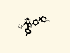 Cc1ccc(-c2nn(C3CCN(C4(C)CCNCC4)CC3)c3ncnc(N)c23)cc1